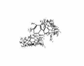 Bc1c(-c2ccc3c(c2)C(C(B)(B)B)(C(B)(B)B)C(B)(B)C(B)(B)C3(C(B)(B)B)C(B)(B)B)c(B)c(C(C)C)c(B)c1-c1ccc2c(c1)C(C(B)(B)B)(C(B)(B)B)C(B)(B)C(B)(B)C2(C(B)(B)B)C(B)(B)B